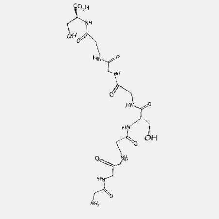 NCC(=O)NCC(=O)NCC(=O)N[C@@H](CO)C(=O)NCC(=O)NCC(=O)NCC(=O)N[C@@H](CO)C(=O)O